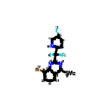 CSc1nc(C(F)(F)c2ccc(F)cn2)nc2c(Br)cccc12